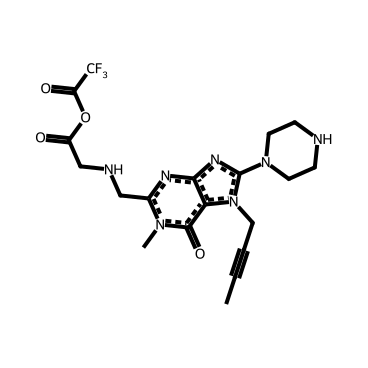 CC#CCn1c(N2CCNCC2)nc2nc(CNCC(=O)OC(=O)C(F)(F)F)n(C)c(=O)c21